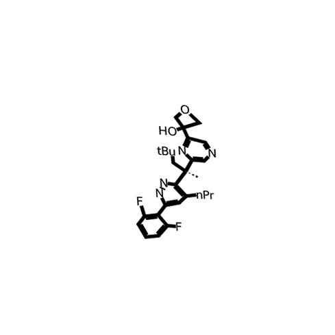 CCCc1cc(-c2c(F)cccc2F)nnc1[C@@](C)(CC(C)(C)C)c1cncc(C2(O)COC2)n1